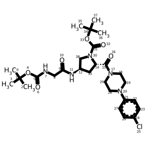 CC(C)(C)OC(=O)NCC(=O)N[C@@H]1C[C@@H](C(=O)N2CCN(c3ccc(Cl)cc3)CC2)N(C(=O)OC(C)(C)C)C1